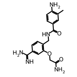 Cc1cc(C(=O)NCc2ccc(C(=N)N)cc2OCC(N)=O)ccc1N